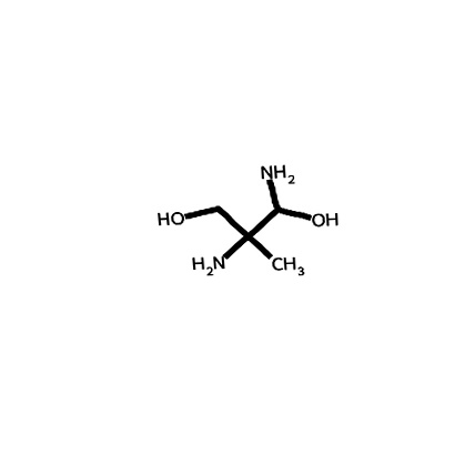 CC(N)(CO)C(N)O